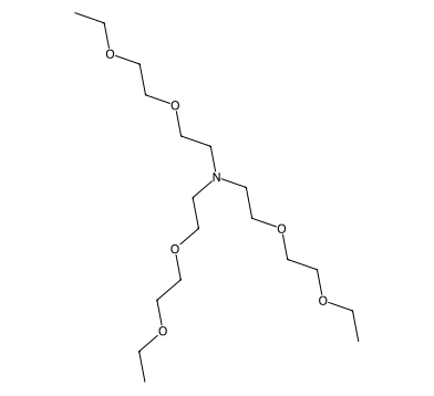 CCOCCOCCN(CCOCCOCC)CCOCCOCC